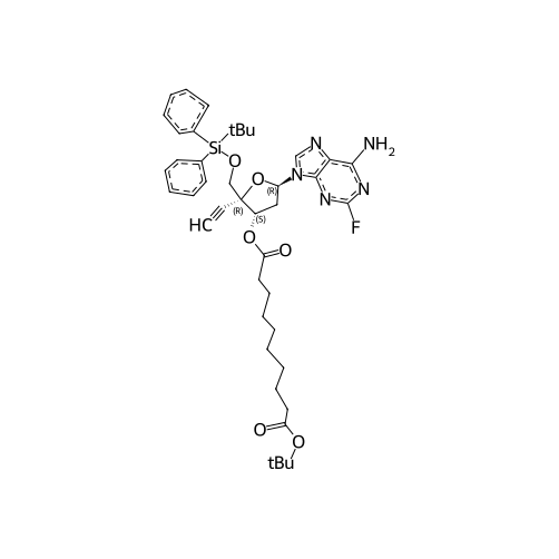 C#C[C@]1(CO[Si](c2ccccc2)(c2ccccc2)C(C)(C)C)O[C@@H](n2cnc3c(N)nc(F)nc32)C[C@@H]1OC(=O)CCCCCCCCC(=O)OC(C)(C)C